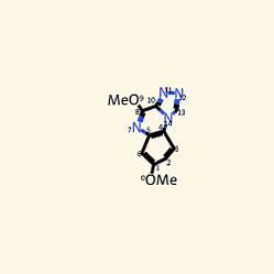 COc1ccc2c(c1)nc(OC)c1nncn12